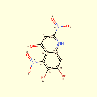 O=c1cc([N+](=O)[O-])[nH]c2cc(Br)c(Br)c([N+](=O)[O-])c12